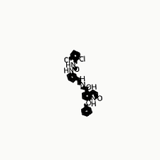 O=C(NCc1c(Cl)cccc1Cl)Nc1cccc(CCNC[C@H](O)c2ccc(OCc3ccccc3)c3[nH]c(=O)ccc23)c1